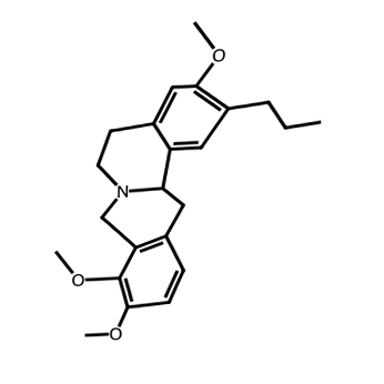 CCCc1cc2c(cc1OC)CCN1Cc3c(ccc(OC)c3OC)CC21